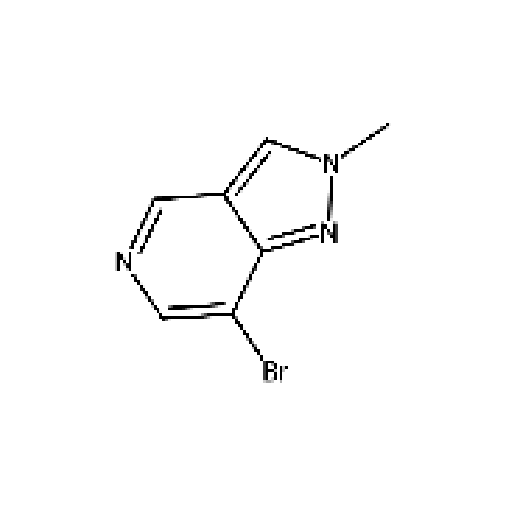 Cn1cc2cncc(Br)c2n1